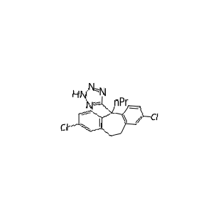 CCCC1(c2nn[nH]n2)c2ccc(Cl)cc2CCc2cc(Cl)ccc21